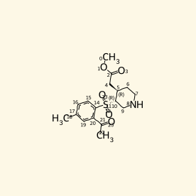 COC(=O)C[C@H]1CCNC[C@@H]1S(=O)(=O)c1ccc(C)cc1C(C)=O